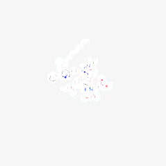 CCCCCCCCSC(=O)Oc1cc(Cl)nnc1-c1ccccc1.CCOC(=O)C(Cl)Cc1cc(-n2nc(C)n(C(F)F)c2=O)c(F)cc1Cl.CP(=O)(O)CCC(N)C(=O)O